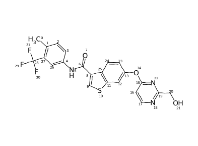 Cc1ccc(NC(=O)c2csc3cc(Oc4ccnc(CO)n4)ccc23)cc1C(F)(F)F